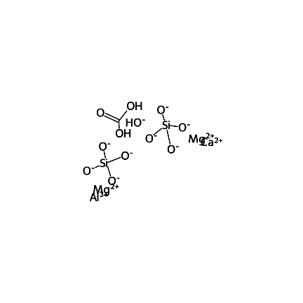 O=C(O)O.[Al+3].[Ca+2].[Mg+2].[Mg+2].[O-][Si]([O-])([O-])[O-].[O-][Si]([O-])([O-])[O-].[OH-]